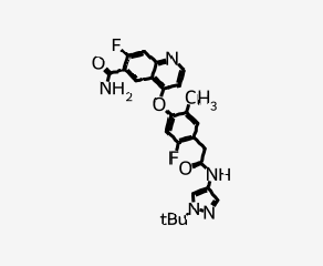 Cc1cc(CC(=O)Nc2cnn(C(C)(C)C)c2)c(F)cc1Oc1ccnc2cc(F)c(C(N)=O)cc12